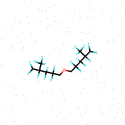 FC(F)C(F)(C(F)(F)F)C(F)(F)C(F)(F)COCC(F)(F)C(F)(F)C(F)(C(F)F)C(F)(F)F